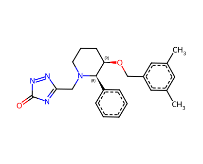 Cc1cc(C)cc(CO[C@@H]2CCCN(CC3=NC(=O)N=N3)[C@@H]2c2ccccc2)c1